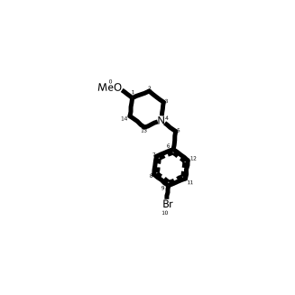 COC1CCN(Cc2ccc(Br)cc2)CC1